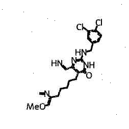 C=N/C(=C\OC)CCCCCc1c(C=N)nc(NCc2ccc(Cl)c(Cl)c2)[nH]c1=O